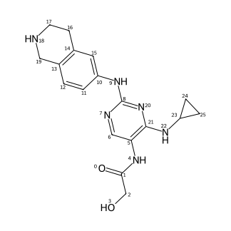 O=C(CO)Nc1cnc(Nc2ccc3c(c2)CCNC3)nc1NC1CC1